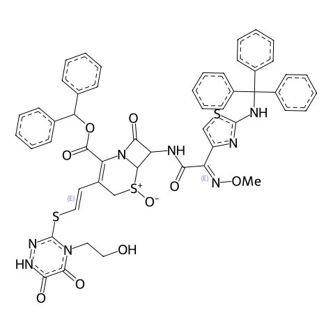 CO/N=C(/C(=O)NC1C(=O)N2C(C(=O)OC(c3ccccc3)c3ccccc3)=C(/C=C/Sc3n[nH]c(=O)c(=O)n3CCO)C[S+]([O-])C12)c1csc(NC(c2ccccc2)(c2ccccc2)c2ccccc2)n1